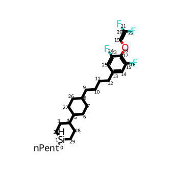 CCCCC[SiH]1CCC(C2CCC(CCCCc3cc(F)c(OC=C(F)F)c(F)c3)CC2)CC1